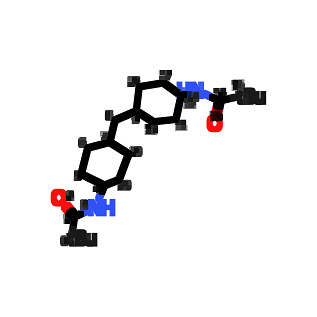 CC(C)(C)C(=O)NC1CCC(CC2CCC(NC(=O)C(C)(C)C)CC2)CC1